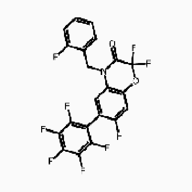 O=C1N(Cc2ccccc2F)c2cc(-c3c(F)c(F)c(F)c(F)c3F)c(F)cc2OC1(F)F